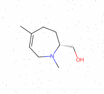 CC1=CCN(C)[C@@H](CO)CC1